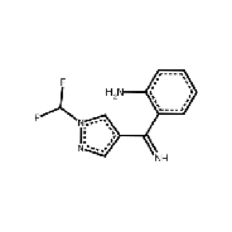 N=C(c1cnn(C(F)F)c1)c1ccccc1N